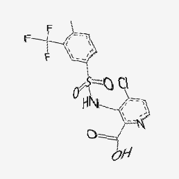 Cc1ccc(S(=O)(=O)Nc2c(Cl)ccnc2C(=O)O)cc1C(F)(F)F